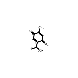 CCC(O)C1=CC(=O)C(C)=CC1=O